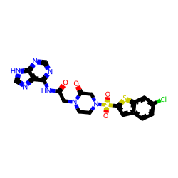 O=C(CN1CCN(S(=O)(=O)c2cc3ccc(Cl)cc3s2)CC1=O)Nc1ncnc2[nH]cnc12